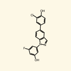 Oc1cc(F)cc(-n2ncc3cc(-c4ccc(O)c(Cl)c4)ccc32)c1